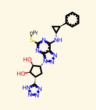 CCCSc1nc(N[C@@H]2C[C@H]2c2ccccc2)c2nnn([C@@H]3C[C@H](c4nnn[nH]4)[C@@H](O)[C@H]3O)c2n1